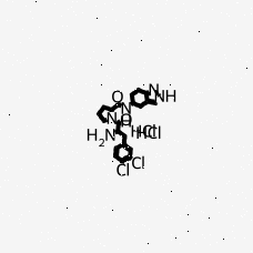 Cl.Cl.NC(Cc1ccc(Cl)c(Cl)c1)C(=O)N1CCCC1C(=O)NC1CCc2n[nH]cc2C1